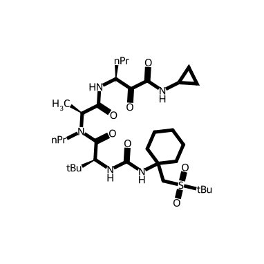 CCC[C@H](NC(=O)[C@H](C)N(CCC)C(=O)[C@@H](NC(=O)NC1(CS(=O)(=O)C(C)(C)C)CCCCC1)C(C)(C)C)C(=O)C(=O)NC1CC1